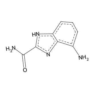 NC(=O)c1nc2c(N)cccc2[nH]1